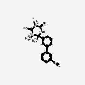 [C-]#[N+]c1cccc(-c2cccc(C3(C)NC(=N)N(C)C(=O)N3C)c2)c1